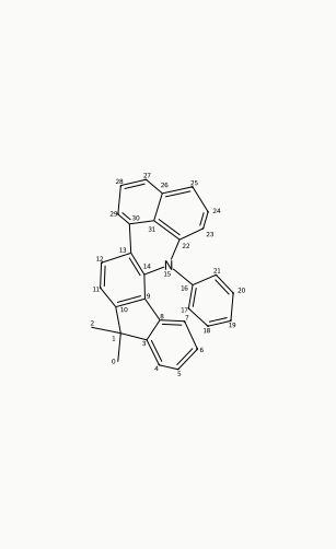 CC1(C)c2ccccc2-c2c1ccc1c2N(c2ccccc2)c2cccc3cccc-1c23